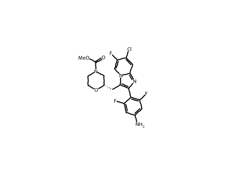 COC(=O)N1CCO[C@@H](Cc2c(-c3c(F)cc(N)cc3F)nc3cc(Cl)c(F)cn23)C1